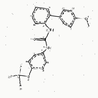 COc1ccc(-c2ccccc2NC(=O)Nc2ccc(OC(F)(F)F)cc2)cn1